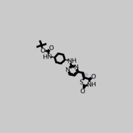 CC(C)(C)OC(=O)N[C@H]1CC[C@@H](Nc2nccc(/C=C3\SC(=O)NC3=O)n2)CC1